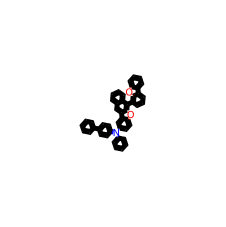 c1ccc(-c2ccc(N(c3ccccc3)c3ccc4oc5c(-c6cccc7c6oc6ccccc67)c6ccccc6cc5c4c3)cc2)cc1